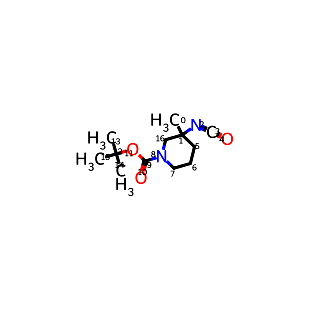 CC1(N=C=O)CCCN(C(=O)OC(C)(C)C)C1